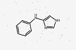 c1ccc(Nc2c[nH]cn2)cc1